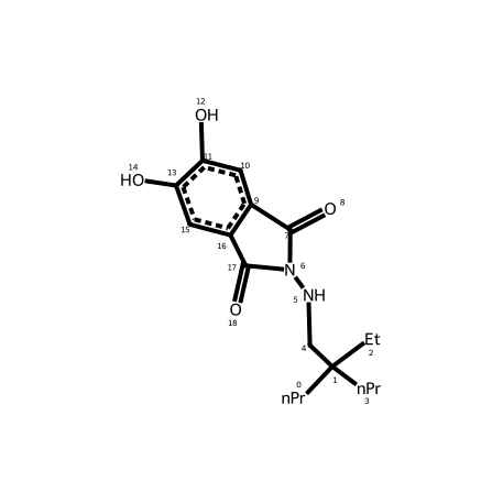 CCCC(CC)(CCC)CNN1C(=O)c2cc(O)c(O)cc2C1=O